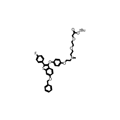 CN(CCOCCOCC(=O)OC(C)(C)C)CCOc1ccc(Oc2c(-c3ccc(F)cc3)sc3cc(OCc4ccccc4)ccc23)cc1